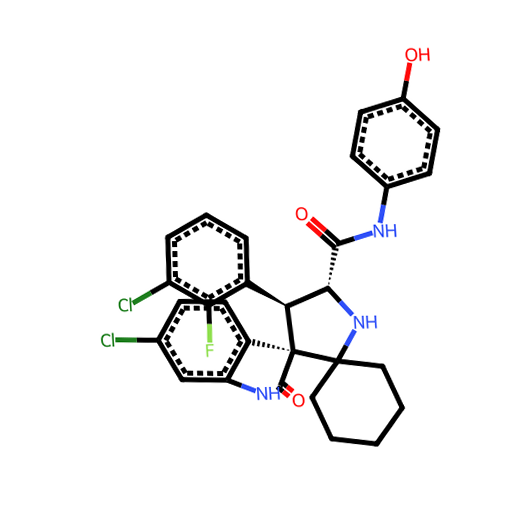 O=C(Nc1ccc(O)cc1)[C@@H]1NC2(CCCCC2)[C@@]2(C(=O)Nc3cc(Cl)ccc32)[C@H]1c1cccc(Cl)c1F